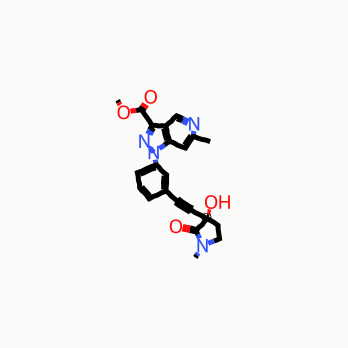 COC(=O)c1nn(-c2cccc(C#C[C@]3(O)CCN(C)C3=O)c2)c2cc(C)ncc12